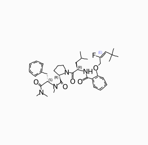 CC(C)C[C@@H](NC(=O)c1ccccc1OC/C(F)=C\C(C)(C)C)C(=O)N1CCC[C@@H]1C(=O)N(C)[C@@H](Cc1ccccc1)C(=O)N(C)C